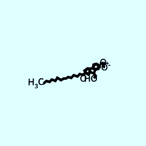 CCCCCCCCCCCCCCCC(=O)c1ccc2c(c1)C(CO)c1cc([N+](=O)[O-])ccc1-2